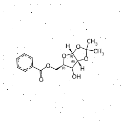 CC1(C)O[C@H]2O[C@H](COC(=O)c3ccccc3)C(O)[C@H]2O1